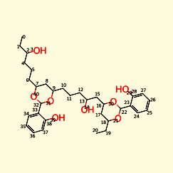 CCC(O)CCCC1CC(CCCC(O)CC2CC(CC)OC(c3ccccc3O)O2)OC(c2ccccc2O)O1